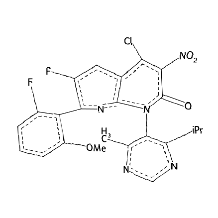 COc1cccc(F)c1-c1nc2c(cc1F)c(Cl)c([N+](=O)[O-])c(=O)n2-c1c(C)ncnc1C(C)C